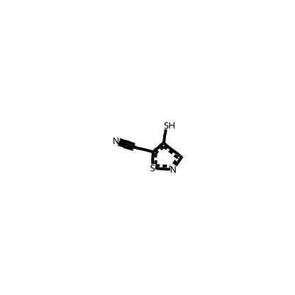 N#Cc1sncc1S